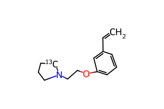 C=Cc1cccc(OCCN2CCC[13CH2]2)c1